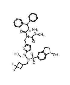 COC(=O)N(Cc1ccc([C@@H](CO)N(CC2CC(F)(F)C2)S(=O)(=O)c2ccc3c(c2)CCC3O)s1)C(=O)[C@@H](N)C(c1ccccc1)c1ccccc1